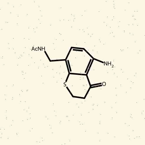 CC(=O)NCc1ccc(N)c2c1SCCC2=O